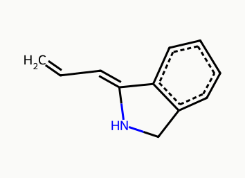 C=C/C=C1\NCc2ccccc21